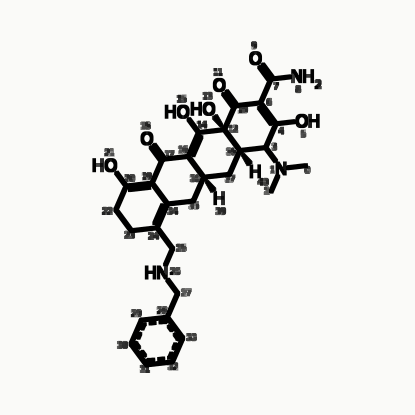 CN(C)C1C(O)=C(C(N)=O)C(=O)[C@@]2(O)C(O)=C3C(=O)C4=C(O)CCC(CNCc5ccccc5)=C4C[C@H]3C[C@@H]12